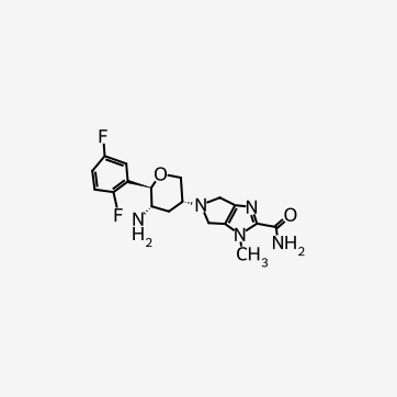 Cn1c(C(N)=O)nc2c1CN([C@H]1CO[C@H](c3cc(F)ccc3F)[C@@H](N)C1)C2